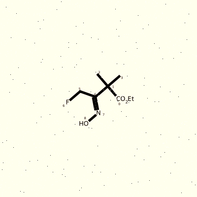 CCOC(=O)C(C)(C)C(CF)=NO